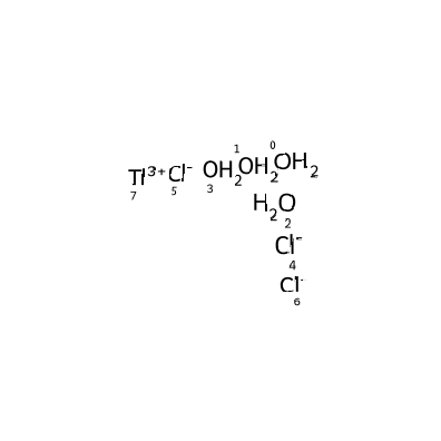 O.O.O.O.[Cl-].[Cl-].[Cl-].[Tl+3]